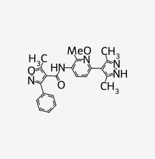 COc1nc(-c2c(C)n[nH]c2C)ccc1NC(=O)c1c(-c2ccccc2)noc1C